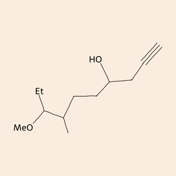 C#CCC(O)CCC(C)C(CC)OC